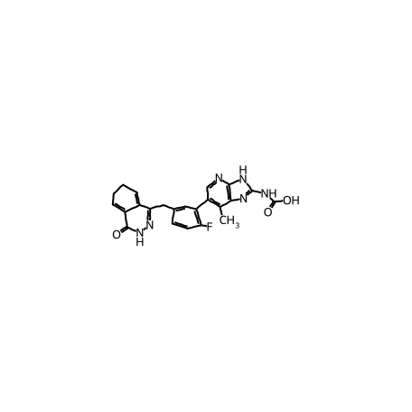 Cc1c(-c2cc(Cc3n[nH]c(=O)c4c3=CCCC=4)ccc2F)cnc2[nH]c(NC(=O)O)nc12